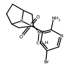 Nc1ncc(Br)cc1S(=O)(=O)N1C2CCC1CC(NC(=O)O)C2